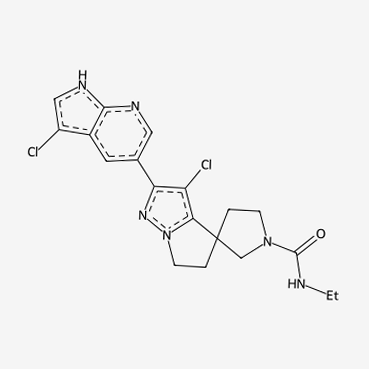 CCNC(=O)N1CCC2(CCn3nc(-c4cnc5[nH]cc(Cl)c5c4)c(Cl)c32)C1